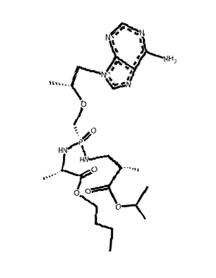 CCCCOC(=O)[C@H](C)N[P@](=O)(CO[C@H](C)Cn1cnc2c(N)ncnc21)NC[C@H](C)C(=O)OC(C)C